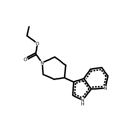 CCOC(=O)N1CCC(c2c[nH]c3ncccc23)CC1